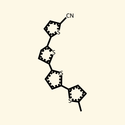 Cc1ccc(-c2ccc(-c3ccc(-c4ccc(C#N)s4)s3)s2)s1